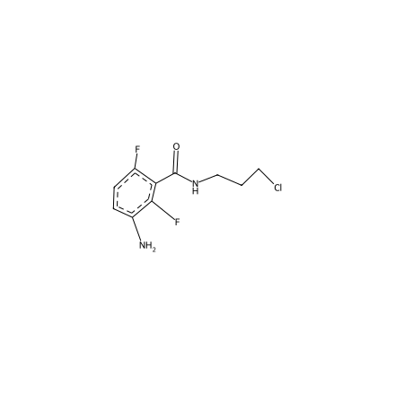 Nc1ccc(F)c(C(=O)NCCCCl)c1F